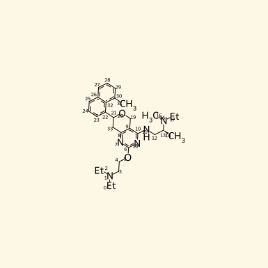 CCN(CC)CCOc1nc2c(c(NC[C@H](C)N(C)CC)n1)COC(c1cccc3cccc(C)c13)C2